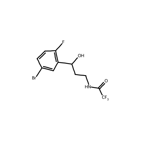 O=C(NCCC(O)c1cc(Br)ccc1F)C(F)(F)F